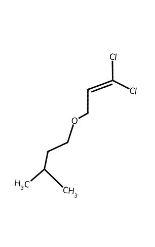 CC(C)CCOCC=C(Cl)Cl